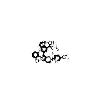 C=C(C)c1cc(-c2c3c(nn2-c2c(CC)cccc2CC)CCN(c2ncc(C(F)(F)F)cc2F)C3)cc2cc[nH]c12